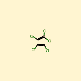 Cl/C=C\Cl.ClC=C(Cl)Cl